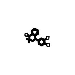 CC1(C)CC(c2ccc(Cl)c(Cl)c2)c2ccccc2C1=O